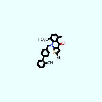 CCc1cc2c(=O)c3c(C)ccc(C(=O)O)c3n(Cc3ccc(-c4ccccc4C#N)cc3)c2s1